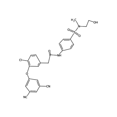 CN(CCO)S(=O)(=O)c1ccc(NC(=O)Cc2ccc(Cl)c(Oc3cc(C#N)cc(C#N)c3)c2)cc1